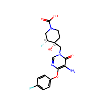 Nc1c(Oc2ccc(F)cc2)ncn(C[C@]2(O)CCN(C(=O)O)C[C@H]2F)c1=O